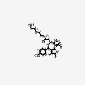 Cc1sc2c(c1C)C(c1ccc(Cl)cc1)=N[C@@H](CC(=O)NCCCCCN)c1nnc(C)n1-2